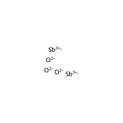 [O-2].[O-2].[O-2].[Sb+3].[Sb+3]